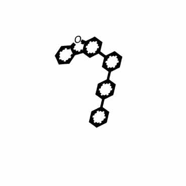 c1ccc(-c2ccc(-c3cccc(-c4ccc5oc6ccccc6c5c4)c3)cc2)cc1